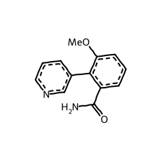 COc1cccc(C(N)=O)c1-c1cccnc1